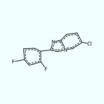 Fc1ccc(-c2cn3cc(Cl)ccc3n2)c(F)c1